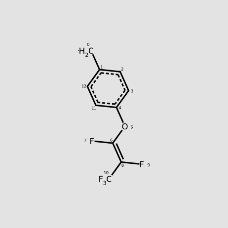 [CH2]c1ccc(OC(F)=C(F)C(F)(F)F)cc1